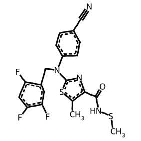 CSNC(=O)c1nc(N(Cc2cc(F)c(F)cc2F)c2ccc(C#N)cc2)sc1C